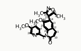 COc1ccc(Cn2c(=O)ccc3cc(-c4c(C)noc4C)c(OC)cc32)nc1